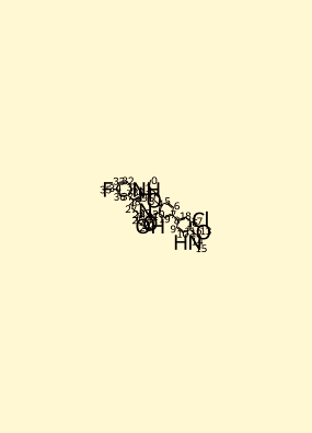 CCCOc1ccc(-c2ccc(C(=O)NC)c(Cl)c2)cc1C(=O)NC(CO)Cc1c[nH]c2ccc(F)cc12